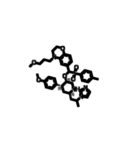 COCCCN1CCOc2ccc(C(O[C@H]3CN[C@@H](CC(C)n4ccnc4)C[C@@H]3c3ccc(OC)cc3)S(=O)(=O)c3ccc(C)cc3)cc21